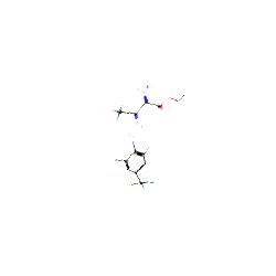 CCOC(=O)C(=N\O)/C(=N/Nc1c(Cl)cc(C(F)(F)F)cc1Cl)C(F)(F)F